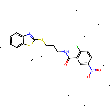 O=C(NCCCSc1nc2ccccc2s1)c1cc([N+](=O)[O-])ccc1Cl